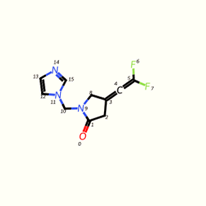 O=C1CC(=C=C(F)F)CN1Cn1ccnc1